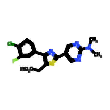 CCOC(=O)Cc1sc(-c2cnc(N(C)C)nc2)nc1-c1ccc(Cl)c(F)c1